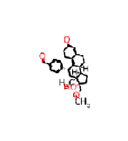 COC[C@]1(O)CC[C@H]2[C@@H]3CCC4=CC(=O)CCC4=C3[C@@H](c3ccc(C=O)cc3)C[C@@]21C